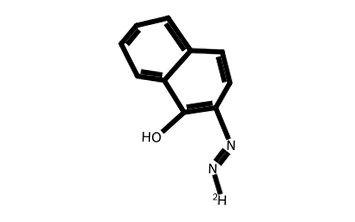 [2H]N=Nc1ccc2ccccc2c1O